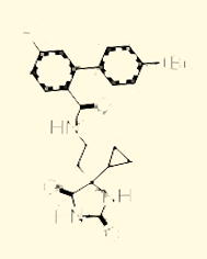 CC(C)(C)c1ccc(-c2cc(F)ccc2C(=O)NCC[C@@]2(C3CC3)NC(=O)NC2=O)cc1